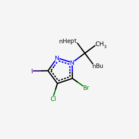 CCCCCCCC(C)(CCCC)n1nc(I)c(Cl)c1Br